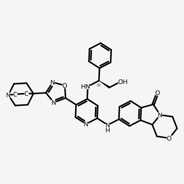 O=C1c2ccc(Nc3cc(N[C@H](CO)c4ccccc4)c(-c4nc(C56CCN(CC5)CC6)no4)cn3)cc2C2COCCN12